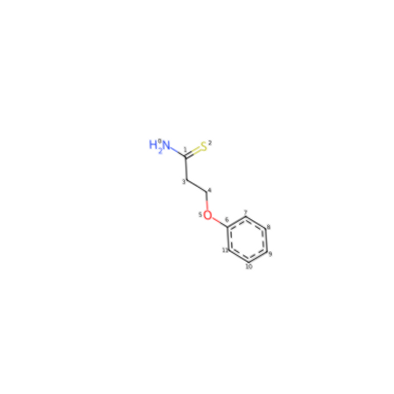 NC(=S)CCOc1ccccc1